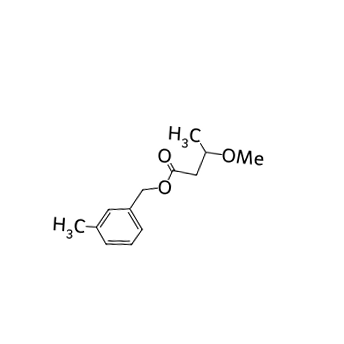 COC(C)CC(=O)OCc1cccc(C)c1